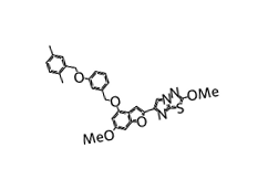 COc1cc(OCc2cccc(OCc3cc(C)ccc3C)c2)c2cc(-c3cn4nc(OC)sc4n3)oc2c1